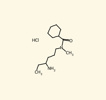 CCC(N)CCCN(C)C(=O)C1CCCCC1.Cl